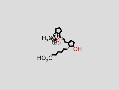 CC(C)(C)[Si](C)(C)O[C@@H](CCC1=CC[C@H](O)[C@@H]1CCCCCCC(=O)O)C1CCCC1